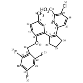 O=C(O)c1nc(C2=C(c3cc(C(F)(F)F)ccc3OCc3c(F)cc(F)cc3F)CCC2)ccc1Cl